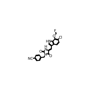 N#Cc1ccc(CN2C(=O)N/C(=C\c3c[nH]c4c(OCF)c(Cl)ccc34)C2=O)cc1